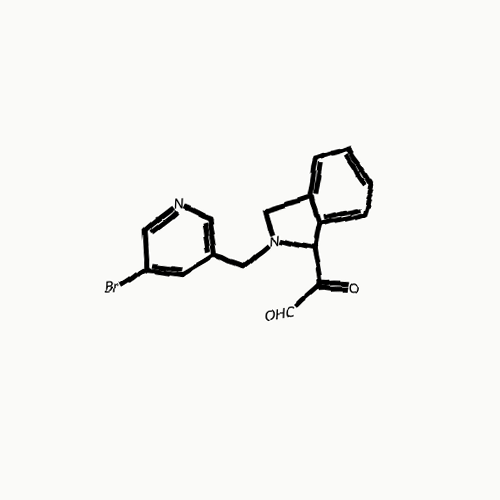 O=CC(=O)C1c2ccccc2CN1Cc1cncc(Br)c1